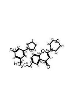 O=C(O)Cc1cc([C@H]2CCCN2c2cc(F)cc(F)c2)c2oc(N3CCOCC3)cc(=O)c2c1